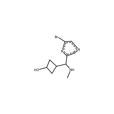 CNC(c1cncc(Br)n1)C1CC(O)C1